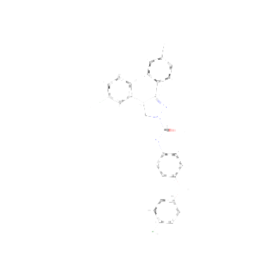 Cc1ccc(C2=NN(C(=O)Nc3ccc(Oc4ccc(Cl)cc4)cc3)CC2c2cccc(F)c2)cc1